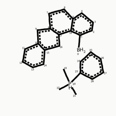 Bc1cccc2ccc3cc4ccccc4cc3c12.C[PH](C)(C)c1ccccc1